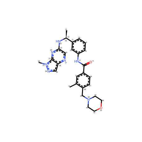 Cc1cc(C(=O)Nc2cccc([C@H](C)Nc3cnc4cnn(C)c4n3)c2)ccc1CN1CCOCC1